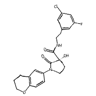 O=C(NCc1cc(F)cc(Cl)c1)[C@@]1(O)CCN(c2ccc3c(c2)CCCO3)C1=O